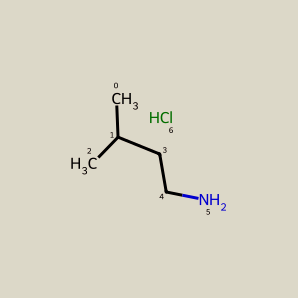 CC(C)CCN.Cl